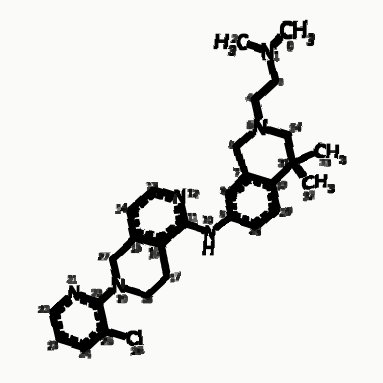 CN(C)CCN1Cc2cc(Nc3nccc4c3CCN(c3ncccc3Cl)C4)ccc2C(C)(C)C1